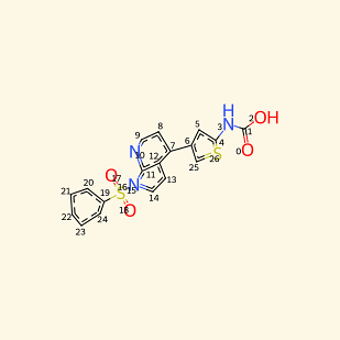 O=C(O)Nc1cc(-c2ccnc3c2ccn3S(=O)(=O)c2ccccc2)cs1